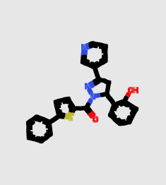 O=C(c1ccc(-c2ccccc2)s1)N1N=C(c2cccnc2)CC1c1ccccc1O